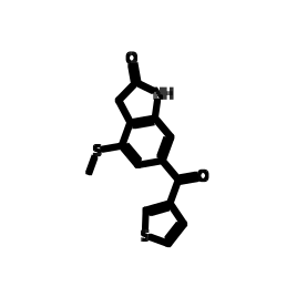 CSc1cc(C(=O)c2ccsc2)cc2c1CC(=O)N2